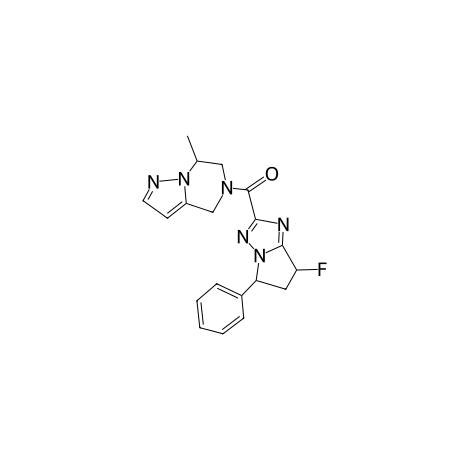 CC1CN(C(=O)c2nc3n(n2)C(c2ccccc2)CC3F)Cc2ccnn21